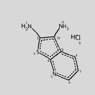 Cl.Nc1sc2ncccc2c1N